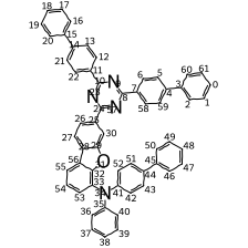 c1ccc(-c2ccc(-c3nc(-c4ccc(-c5ccccc5)cc4)nc(-c4ccc5c(c4)oc4c(N(c6ccccc6)c6ccc(-c7ccccc7)cc6)cccc45)n3)cc2)cc1